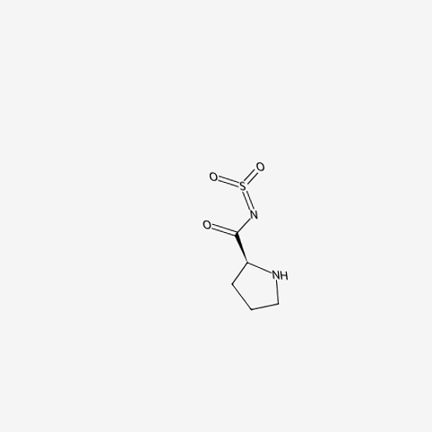 O=C(N=S(=O)=O)[C@@H]1CCCN1